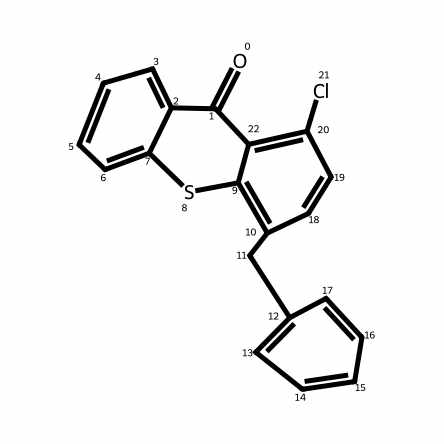 O=c1c2ccccc2sc2c(Cc3ccccc3)ccc(Cl)c12